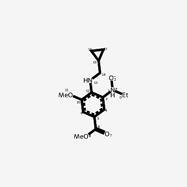 CC[NH+]([O-])c1cc(C(=O)OC)cc(OC)c1NCC1CC1